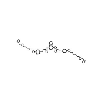 O=C(CCc1ccc(OCCCCCCOCC2CO2)cc1)Oc1ccc(OC(=O)CCc2ccc(OCCCCCCOCC3CO3)cc2)c2c1C1CCC2C1